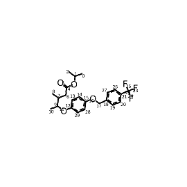 CC(C)OC(=O)CC(C)C(C)Oc1ccc(OCc2ccc(C(F)(F)F)cc2)cc1